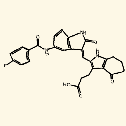 O=C(O)CCc1c(C=C2C(=O)Nc3ccc(NC(=O)c4ccc(F)cc4)cc32)[nH]c2c1C(=O)CCC2